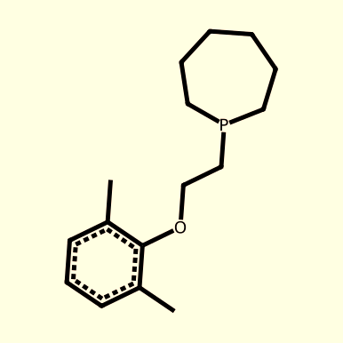 Cc1cccc(C)c1OCCP1CCCCCC1